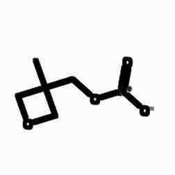 CC1(CO[N+](=O)[O-])COC1